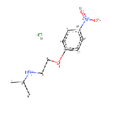 CC(C)NCCOc1ccc([N+](=O)[O-])cc1.Cl